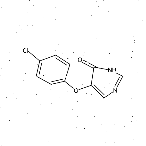 O=c1[nH]cncc1Oc1ccc(Cl)cc1